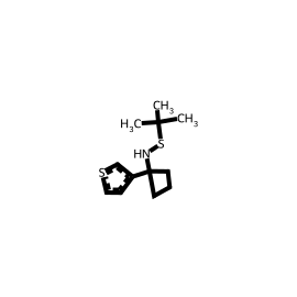 CC(C)(C)SNC1(c2ccsc2)CCC1